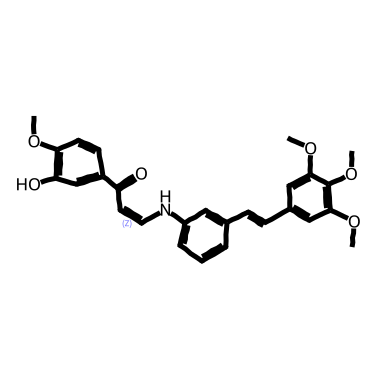 COc1ccc(C(=O)/C=C\Nc2cccc(C=Cc3cc(OC)c(OC)c(OC)c3)c2)cc1O